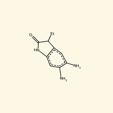 CCC1C(=O)Nc2cc(N)c(N)cc21